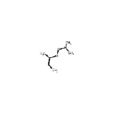 CCC(C)SSN(C)C